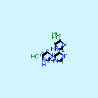 Cl.Cl.Cl.c1c[nH]cn1.c1c[nH]cn1.c1c[nH]cn1